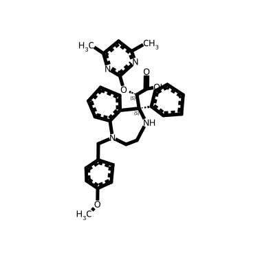 COc1ccc(CN2CCN[C@](c3ccccc3)([C@H](Oc3nc(C)cc(C)n3)C(=O)O)c3ccccc32)cc1